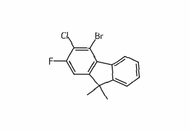 CC1(C)c2ccccc2-c2c1cc(F)c(Cl)c2Br